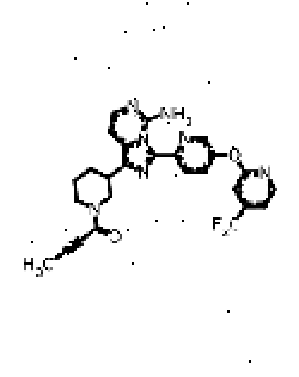 CC#CC(=O)N1CCCC(c2nc(-c3ccc(Oc4cc(C(F)(F)F)ccn4)cn3)n3c(N)nccc23)C1